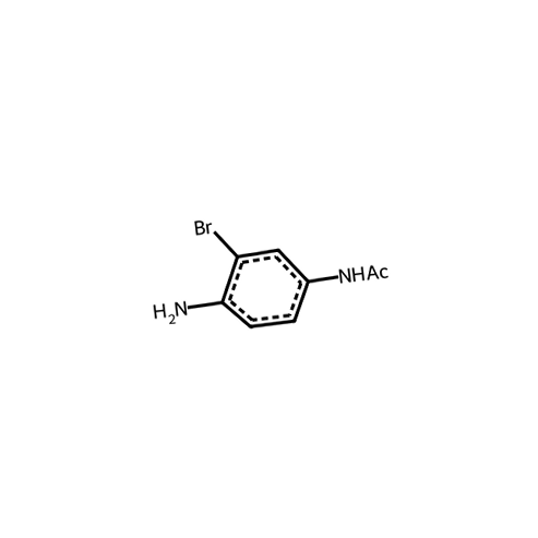 CC(=O)Nc1ccc(N)c(Br)c1